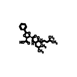 CC(C)CCNC(=O)C(CC(C)C)NC(=O)[C@H]1OC(c2ccccc2)O[C@@H]1C(=O)O